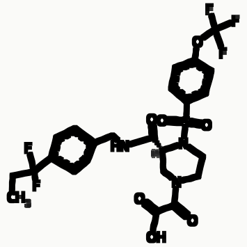 CCC(F)(F)c1ccc(CNC(=O)[C@H]2CN(C(=O)C(=O)O)CCN2S(=O)(=O)c2ccc(OC(F)(F)F)cc2)cc1